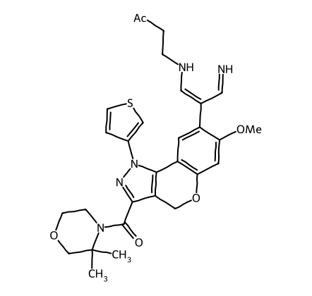 COc1cc2c(cc1/C(C=N)=C/NCCC(C)=O)-c1c(c(C(=O)N3CCOCC3(C)C)nn1-c1ccsc1)CO2